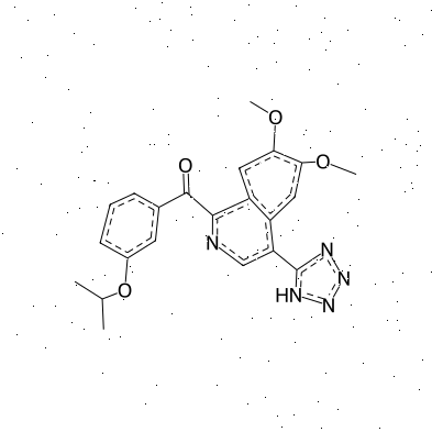 COc1cc2c(-c3nnn[nH]3)cnc(C(=O)c3cccc(OC(C)C)c3)c2cc1OC